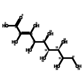 O=C(O)/C(O)=C(\O)[C@H](O)[C@@H](O)[C@@H](O)[C@H](O)C(O)CO